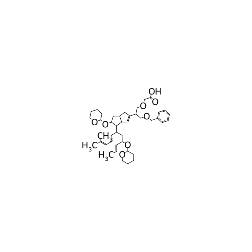 CC=CC(CC(CCC=C(C)C)C1C(OC2CCCCO2)CC2CC(C(COCC(=O)O)COCc3ccccc3)=CC21)OC1CCCCO1